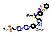 COc1cc(N2CCN(N3CCN(CCS(C)(=O)=O)CC3)CC2)ccc1Nc1nccc(-c2sc(C(C)C)nc2-c2cccc(NS(=O)(=O)c3c(F)cccc3F)c2)n1